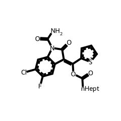 CCCCCCCC(=O)O/C(=C1/C(=O)N(C(N)=O)c2cc(Cl)c(F)cc21)c1cccs1